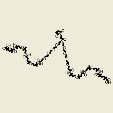 CC(C)(CCOC(C)(C)CCC(=O)NCCC(C)(C)OCCC(C)(C)NC(=O)C(C)(C)CCC(C)(C)C(=O)O)NC(=O)CCOCCOCCOCCOCCN(CCOCCOCCOCCOCCC(=O)NC(C)(C)CCOC(C)(C)CCC(=O)NCCC(C)(C)OCCC(C)(C)NC(=O)C(C)(C)CC(C)(C)C(=O)O)C(=O)CCN1C(=O)C=CC1=O